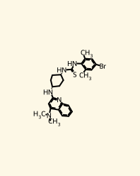 Cc1cc(Br)cc(C)c1NC(=S)N[C@H]1CC[C@@H](Nc2cc(N(C)C)c3ccccc3n2)CC1